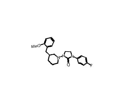 COc1ccccc1CC1CCCN(N2CCN(c3ccc(F)cc3)C2=O)C1